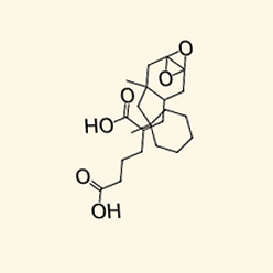 CC1(CC2(C)CC34OC3(CC2CC(CCCC(=O)O)C(=O)O)O4)CCCCC1